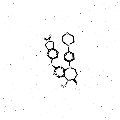 CN1C(=O)CCN(c2ccc(N3CCOCC3)cc2)c2nc(Nc3ccc4c(c3)CS(=O)(=O)C4)ncc21